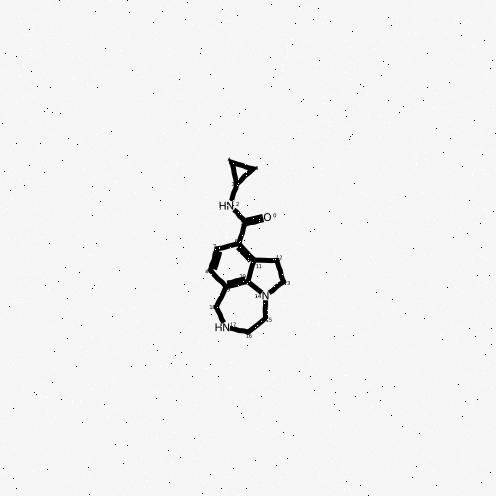 O=C(NC1CC1)c1ccc2c3c1CCN3CCNC2